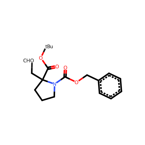 CC(C)(C)OC(=O)C1(CC=O)CCCN1C(=O)OCc1ccccc1